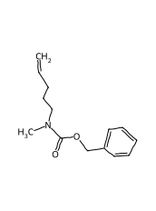 C=CCCCN(C)C(=O)OCc1ccccc1